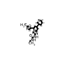 CCNC(=O)Nc1nc2cc(-c3cccnc3)cc(-c3cnc(C)o3)n2n1